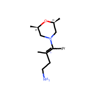 C/C(CCN)=C(/C(C)C)N1C[C@@H](C)O[C@@H](C)C1